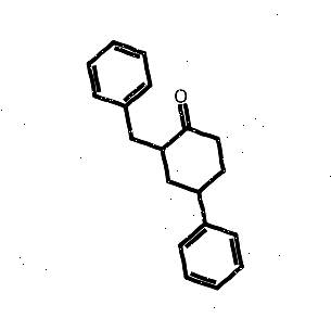 O=C1CCC(c2ccccc2)CC1Cc1ccccc1